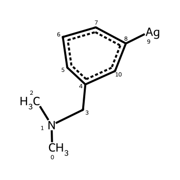 CN(C)Cc1ccc[c]([Ag])c1